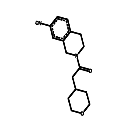 O=Nc1ccc2c(c1)CN(C(=O)CC1CCOCC1)CC2